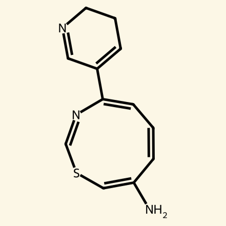 Nc1cccc(C2=CCCN=C2)ncsc1